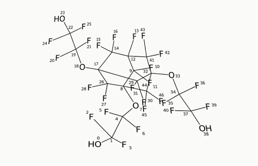 OC(F)(F)C(F)(F)OC12C(F)(F)C3(F)C(F)(F)C(OC(F)(F)C(O)(F)F)(C1(F)F)C(F)(F)C(OC(F)(F)C(O)(F)F)(C3(F)F)C2(F)F